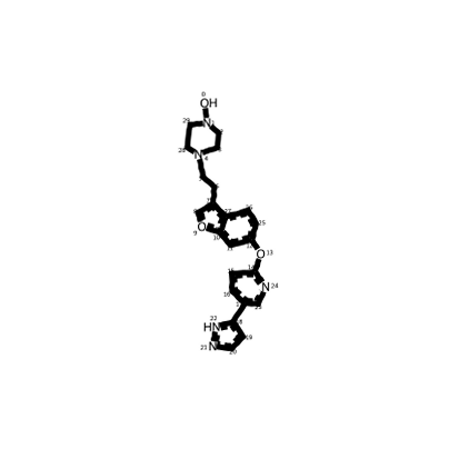 ON1CCN(CCc2coc3cc(Oc4ccc(-c5ccn[nH]5)cn4)ccc23)CC1